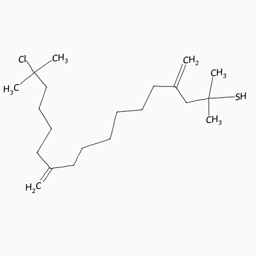 C=C(CCCCCCC(=C)CC(C)(C)S)CCCCC(C)(C)Cl